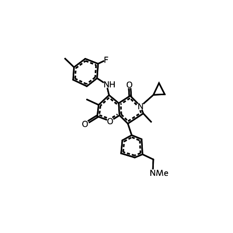 CNCc1cccc(-c2c(C)n(C3CC3)c(=O)c3c(Nc4ccc(C)cc4F)c(C)c(=O)oc23)c1